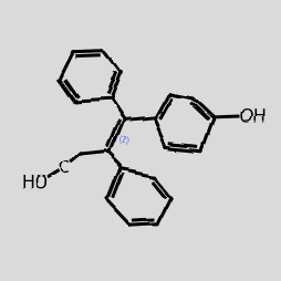 OCC/C(=C(\c1ccccc1)c1ccc(O)cc1)c1ccccc1